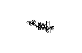 CCOC(=O)CCCc1nc2cc(C(CCl)NCCCl)ccc2n1C